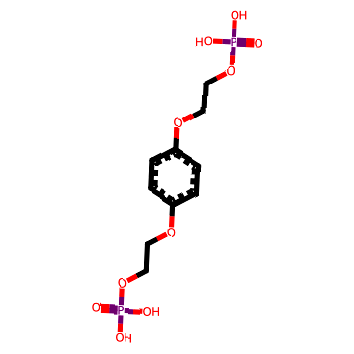 O=P(O)(O)OCCOc1ccc(OCCOP(=O)(O)O)cc1